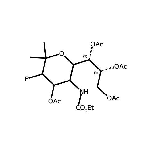 CCOC(=O)NC1C(OC(C)=O)C(F)C(C)(C)OC1[C@H](OC(C)=O)[C@@H](COC(C)=O)OC(C)=O